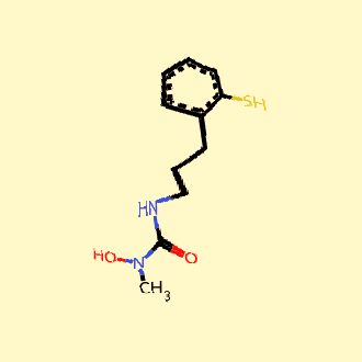 CN(O)C(=O)NCCCc1ccccc1S